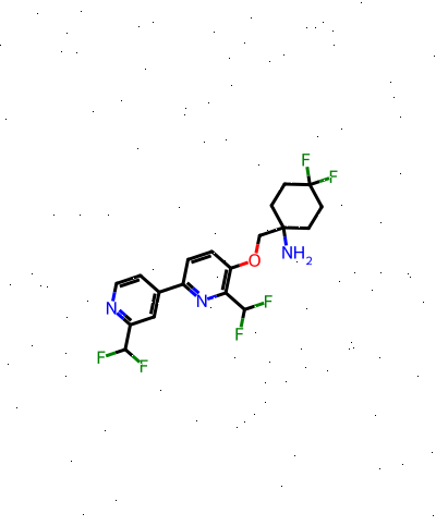 NC1(COc2ccc(-c3ccnc(C(F)F)c3)nc2C(F)F)CCC(F)(F)CC1